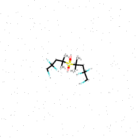 CC(C)(CC(F)(F)CF)S(=O)(=O)C(C)(C)CC(F)(F)CF